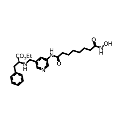 CCOC(=O)[C@H](Cc1ccccc1)NCc1cncc(NC(=O)CCCCCCC(=O)NO)c1